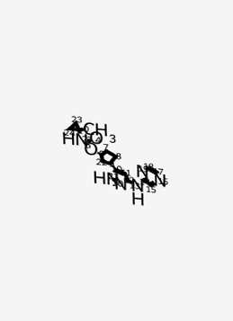 CC1(NC(=O)O[C@H]2CC[C@@H](c3cc(Nc4cnccn4)n[nH]3)C2)CC1